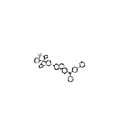 CC1(C)c2ccccc2C2(c3ccccc3-c3cc(-c4ccc5c(ccc6cc(N(c7ccccc7)c7ccc(-c8ccccc8)cc7)ccc65)c4)ccc32)c2ccccc21